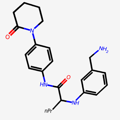 CCCC(Nc1cccc(CN)c1)C(=O)Nc1ccc(N2CCCCC2=O)cc1